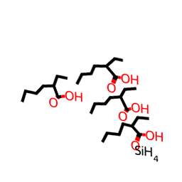 CCCCC(CC)C(=O)O.CCCCC(CC)C(=O)O.CCCCC(CC)C(=O)O.CCCCC(CC)C(=O)O.[SiH4]